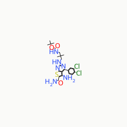 CC(C)(CNC(=O)OC(C)(C)C)CNc1nc(-c2ccc(Cl)c(Cl)c2)c2c(N)c(C(N)=O)sc2n1